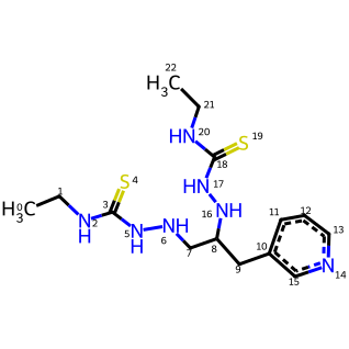 CCNC(=S)NNCC(Cc1cccnc1)NNC(=S)NCC